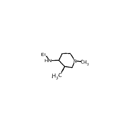 CCNC1CCN(C)CC1C